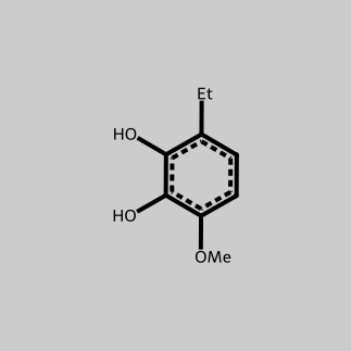 CCc1ccc(OC)c(O)c1O